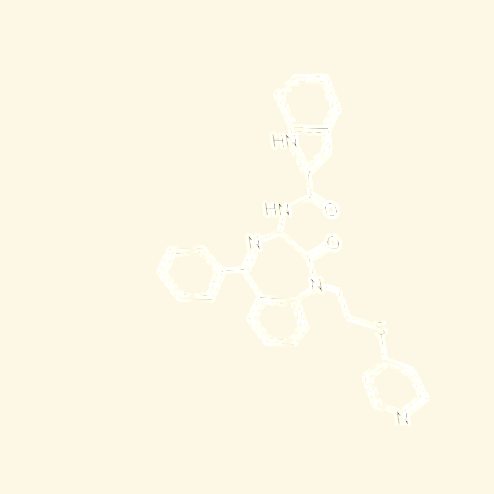 O=C(NC1N=C(c2ccccc2)c2ccccc2N(CCSc2ccncc2)C1=O)c1cc2ccccc2[nH]1